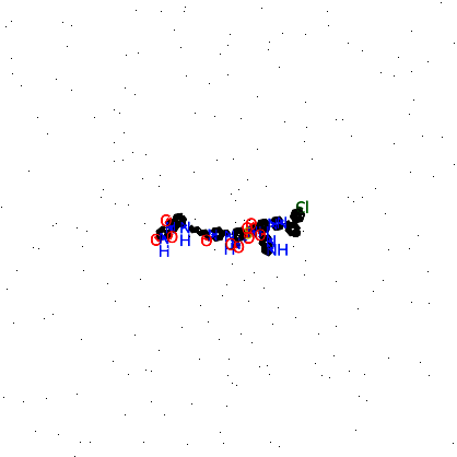 CC1(C)CCC(CN2CCN(c3ccc(C(=O)NS(=O)(=O)c4ccc(NCC5CCN(C(=O)CCCCCNc6cccc7c6CN(C6CCC(=O)NC6=O)C7=O)CC5)c([N+](=O)[O-])c4)c(Oc4cnc5[nH]ccc5c4)c3)CC2)=C(c2ccc(Cl)cc2)C1